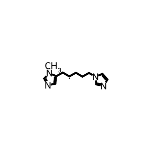 Cn1cncc1C[CH]CCCn1ccnc1